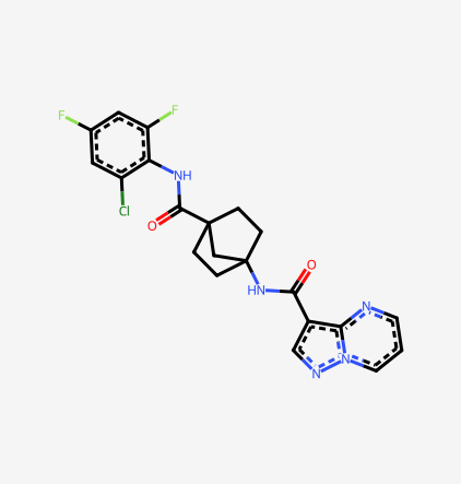 O=C(NC12CCC(C(=O)Nc3c(F)cc(F)cc3Cl)(CC1)C2)c1cnn2cccnc12